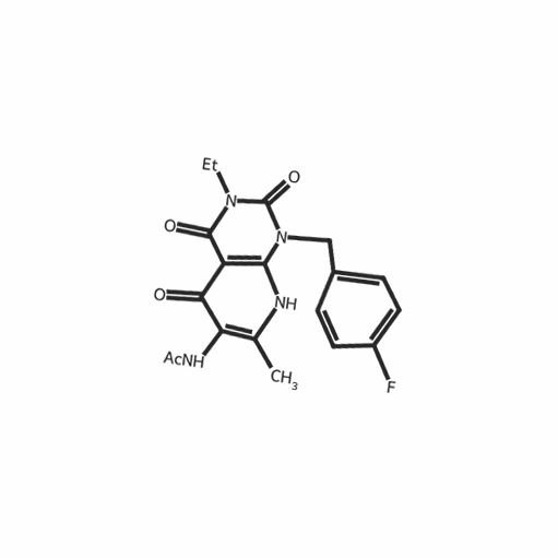 CCn1c(=O)c2c(=O)c(NC(C)=O)c(C)[nH]c2n(Cc2ccc(F)cc2)c1=O